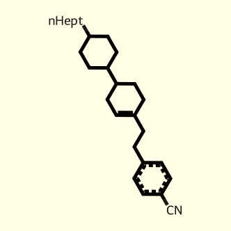 CCCCCCCC1CCC(C2CC=C(CCc3ccc(C#N)cc3)CC2)CC1